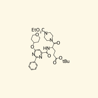 CCOC(=O)N1CCN(C(=O)C(CCC(=O)OC(C)(C)C)NC(=O)c2cc(OC3CCOCC3)nc(-c3ccccc3)n2)CC1